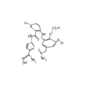 CCOc1cc(CC(N)=O)cc(CNc2ccc(Cl)cc2C(=O)Nc2ccc(/C(N)=N/O)cc2)c1OCC(=O)O